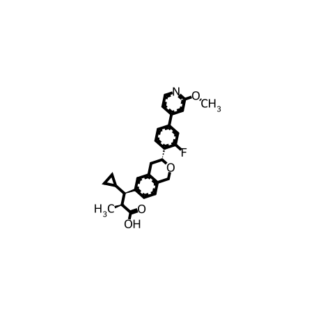 COc1cc(-c2ccc([C@H]3Cc4cc([C@H](C5CC5)[C@H](C)C(=O)O)ccc4CO3)c(F)c2)ccn1